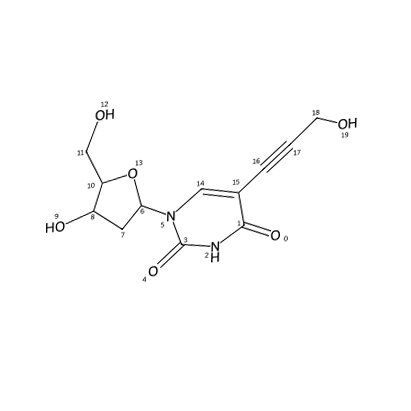 O=c1[nH]c(=O)n(C2CC(O)C(CO)O2)cc1C#CCO